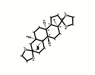 C=C[C@]12CCC3(C[C@H]1CC[C@H]1C4CCC5(OCCO5)[C@@]4(C)CC[C@@H]12)OCCO3